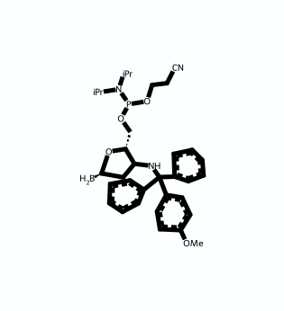 B[C@H]1CC(NC(c2ccccc2)(c2ccccc2)c2ccc(OC)cc2)[C@@H](COP(OCCC#N)N(C(C)C)C(C)C)O1